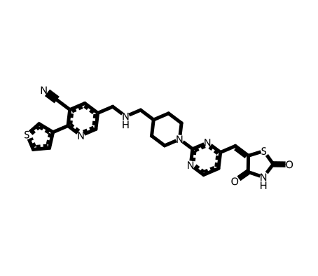 N#Cc1cc(CNCC2CCN(c3nccc(C=C4SC(=O)NC4=O)n3)CC2)cnc1-c1ccsc1